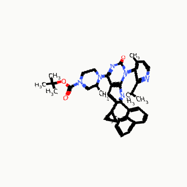 Cc1ccnc(C(C)C)c1-n1c(=O)nc(N2CCN(C(=O)OC(C)(C)C)CC2C)c2cc(C3CC3)c(-c3cccc4cccc(C)c34)nc21